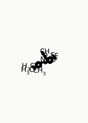 CCOc1nc(-c2ccc(C(C)(C)C)cc2)cc2ccc(C(F)(F)F)cc12